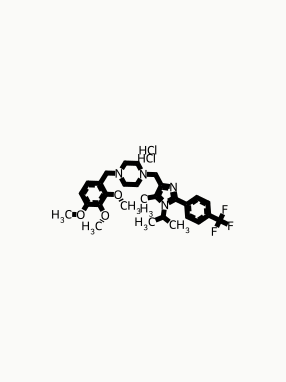 COc1ccc(CN2CCN(Cc3nc(-c4ccc(C(F)(F)F)cc4)n(C(C)C)c3C)CC2)c(OC)c1OC.Cl.Cl